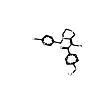 N#C/C(C(=O)c1ccc(OC(F)(F)F)cc1)=C1\COCCN1Cc1ccc(Cl)nc1